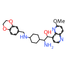 COc1ccc2nccc([C@H](O)[C@@H](N)C3CCC(NCc4ccc5c(c4)OCCO5)CC3)c2n1